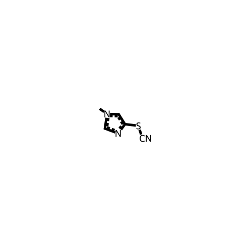 Cn1cnc(SC#N)c1